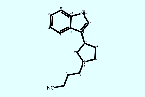 N#CCCCN1CCC(c2c[nH]c3ccccc23)C1